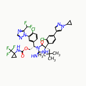 CC(C)(C)C[C@]1(c2ccc(-c3cnn(C4CC4)c3)cc2Cl)NC(=N)N([C@H](COC(=O)NC2(C(F)(F)F)CC2)c2ccc(Cl)c(-n3ncnc3C(F)F)c2)C1=O